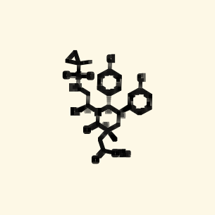 CC[C@@H](CNS(=O)(=O)C1(C)CC1)N1C(=O)[C@@](C)(CC(=O)OC)C[C@H](c2cccc(Cl)c2)[C@H]1c1ccc(Cl)cc1